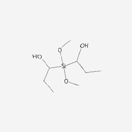 CCC(O)[Si](OC)(OC)C(O)CC